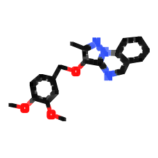 COc1ccc(COc2c(C)nn3c2ncc2ccccc23)cc1OC